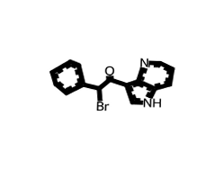 O=C(c1c[nH]c2cccnc12)C(Br)c1ccccc1